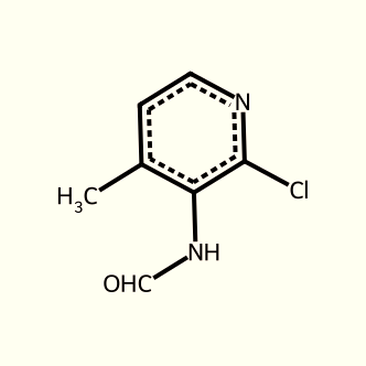 Cc1ccnc(Cl)c1NC=O